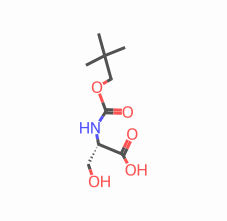 CC(C)(C)COC(=O)N[C@@H](CO)C(=O)O